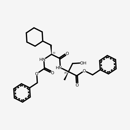 C[C@](CO)(NC(=O)[C@H](CC1CCCCC1)NC(=O)OCc1ccccc1)C(=O)OCc1ccccc1